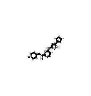 CN1CCC(CNc2nccc(Nc3cc(C4CCCC4)[nH]n3)n2)CC1